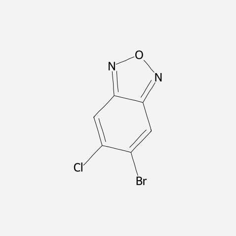 Clc1cc2nonc2cc1Br